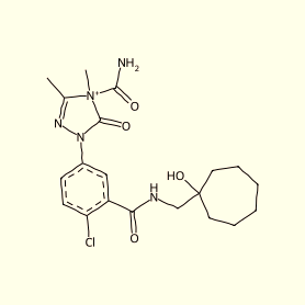 CC1=NN(c2ccc(Cl)c(C(=O)NCC3(O)CCCCCC3)c2)C(=O)[N+]1(C)C(N)=O